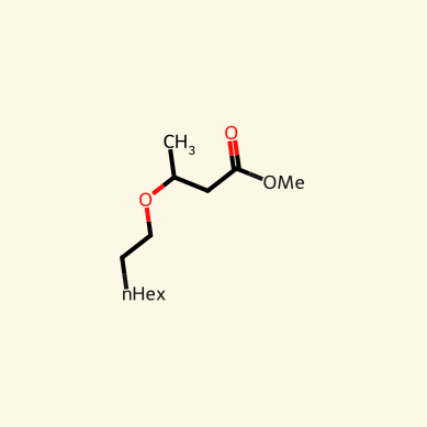 CCCCCCCCOC(C)CC(=O)OC